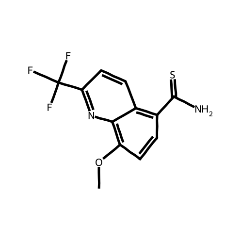 COc1ccc(C(N)=S)c2ccc(C(F)(F)F)nc12